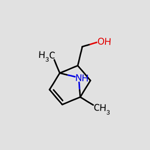 CC12C=CC(C)(N1)C(CO)C2